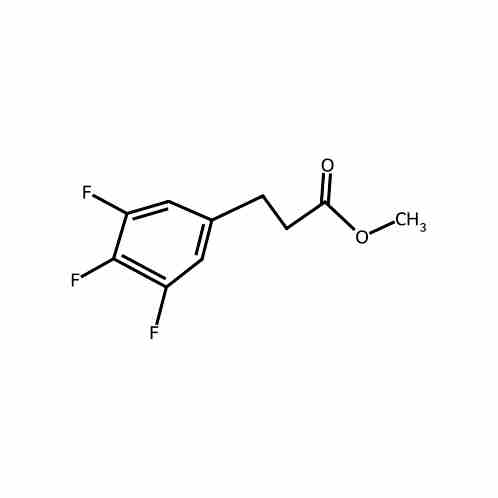 COC(=O)CCc1cc(F)c(F)c(F)c1